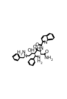 NC(=O)C[C@H](NC(=O)c1ccc2ccccc2n1)C(=O)[C@@H](C(N)c1ccccc1)[C@@H](O)CN(N)Cc1ccccc1